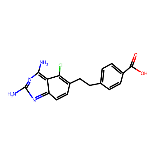 Nc1nc(N)c2c(Cl)c(CCc3ccc(C(=O)O)cc3)ccc2n1